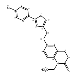 O=C(O)CN1C(=O)CCc2cc(SCc3cc(-c4ccc(Cl)cc4)on3)ccc21